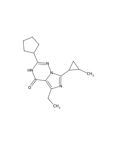 CCc1nc(C2CC2C)n2nc(C3CCCC3)[nH]c(=O)c12